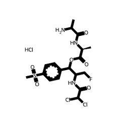 CC(N)C(=O)N[C@@H](C)C(=O)OC(c1ccc(S(C)(=O)=O)cc1)C(CF)NC(=O)C(Cl)Cl.Cl